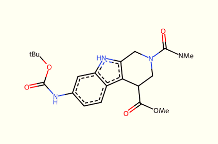 CNC(=O)N1Cc2[nH]c3cc(NC(=O)OC(C)(C)C)ccc3c2C(C(=O)OC)C1